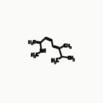 C=C(/C=C\C=C(/C)C(C)C)NC